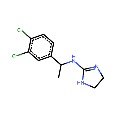 CC(NC1=NCCN1)c1ccc(Cl)c(Cl)c1